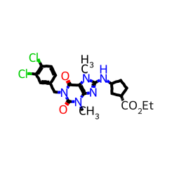 CCOC(=O)C1CCC(Nc2nc3c(c(=O)n(Cc4ccc(Cl)c(Cl)c4)c(=O)n3C)n2C)C1